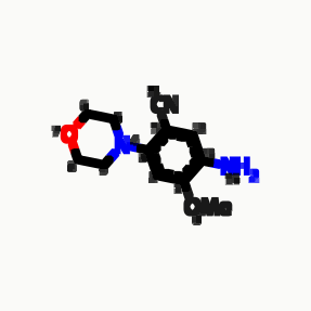 COc1cc(N2CCOCC2)c(C#N)cc1N